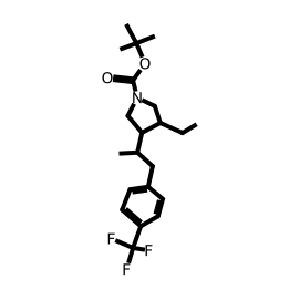 CCC1CN(C(=O)OC(C)(C)C)CC1C(C)Cc1ccc(C(F)(F)F)cc1